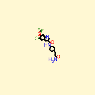 NC(=O)CCC1CCC(NC(=O)c2cnc3cc(OC(F)F)c(Cl)cc3c2)CC1